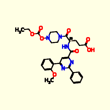 CCOC(=O)ON1CCN(C(=O)[C@H](CCC(=O)O)NC(=O)c2cc(-c3ccccc3OC)nc(-c3ccccc3)n2)CC1